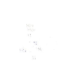 Br.Br.C[C@@H]1[C@H]2CN[C@@H]1CN2Cc1ccccc1